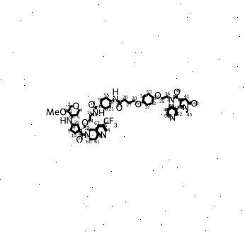 CO[C@@H]1COCC[C@@H]1N[C@@H]1CC[C@](COCCNC(=O)[C@H]2CC[C@H](NC(=O)CCCO[C@H]3CC[C@H](OCCNC(=O)[C@H]4CC(=O)N(C)[C@@H]4c4cccnc4)CC3)CC2)(C(=O)N2CCc3ncc(C(F)(F)F)cc3C2)C1